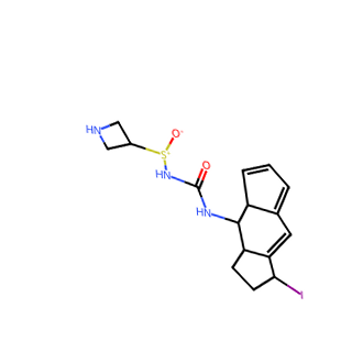 O=C(NC1C2C=CC=C2C=C2C(I)CCC21)N[S+]([O-])C1CNC1